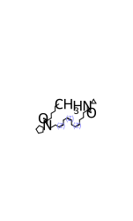 CCCCCC(=O)N(CC/C=C\C/C=C\C/C=C\CCCC(=O)NC1CC1)C1CCCC1